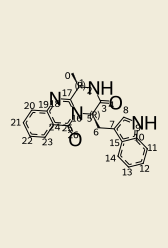 C[C@H]1NC(=O)[C@@H](Cc2c[nH]c3ccccc23)n2c1nc1ccccc1c2=O